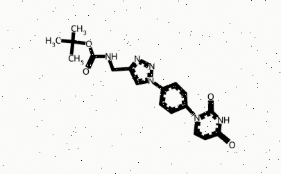 CC(C)(C)OC(=O)NCc1cn(-c2ccc(-n3ccc(=O)[nH]c3=O)cc2)nn1